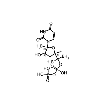 BC(B)(OP(=O)(O)OP(=O)(O)O)[C@]1(F)C[C@@H](O)[C@](B)(n2ccc(=O)[nH]c2=O)O1